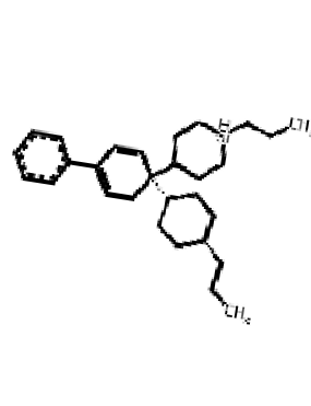 CCC[SiH]1CCC(C2([C@H]3CC[C@H](CCC)CC3)C=CC(c3ccccc3)=CC2)CC1